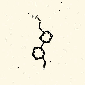 COCc1cccc(-c2cccc(C=O)c2)c1